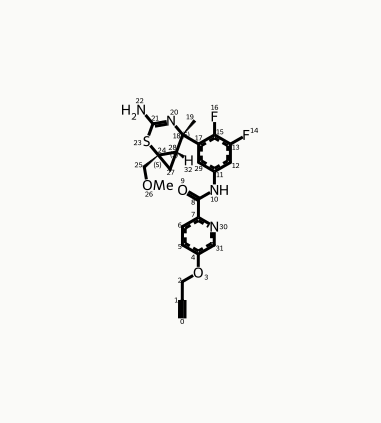 C#CCOc1ccc(C(=O)Nc2cc(F)c(F)c([C@@]3(C)N=C(N)S[C@@]4(COC)C[C@H]43)c2)nc1